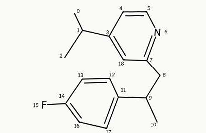 CC(C)c1ccnc(CC(C)c2ccc(F)cc2)c1